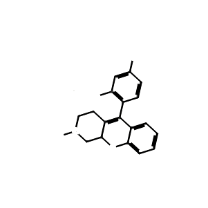 Cc1ccc(C2=C3CCN(C)CC3Sc3ccccc32)c(C)c1.Cl